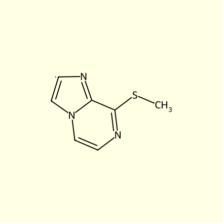 CSc1nccn2c[c]nc12